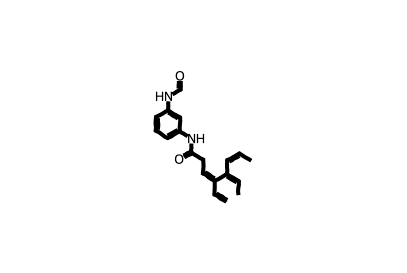 C=CC(=C/CC(=O)Nc1cccc(NC=O)c1)/C(/C=C\C)=C\C